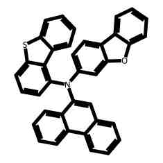 c1ccc2c(c1)cc(N(c1ccc3c(c1)oc1ccccc13)c1cccc3sc4ccccc4c13)c1ccccc12